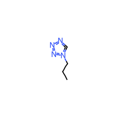 CCCn1cnnn1